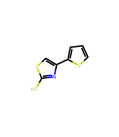 Sc1nc(-c2cccs2)cs1